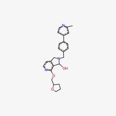 Cc1cc(-c2ccc(CN3Cc4ccnc(OCC5CCCO5)c4C3O)cc2)ccn1